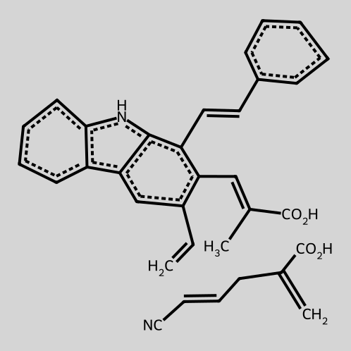 C=C(CC=CC#N)C(=O)O.C=Cc1cc2c([nH]c3ccccc32)c(C=Cc2ccccc2)c1C=C(C)C(=O)O